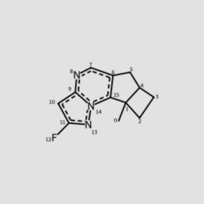 CC12CCC1Cc1cnc3cc(F)nn3c12